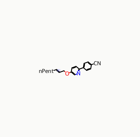 CCCCC/C=C/COc1ccc(-c2ccc(C#N)cc2)nc1